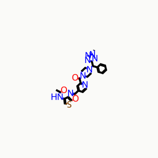 CC(=O)Nc1csc2oc(-c3ccnc(C(=O)N4CCN(C(c5ccccc5)c5nnn(C)n5)CC4)c3)nc12